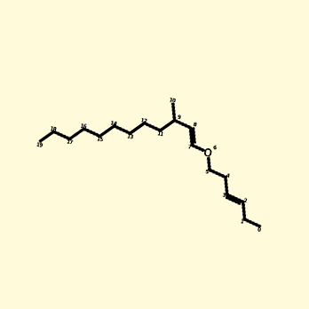 CCC=CCCOC=CC(C)CCCCCCCCC